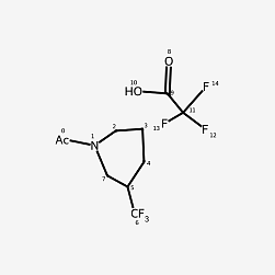 CC(=O)N1CCCC(C(F)(F)F)C1.O=C(O)C(F)(F)F